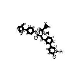 Cc1cnn(C)c1-c1ccc(NC(=O)C(Cc2cc(-c3ccc(=O)n(C(C)C)c3)ccc2Cl)NC(=O)C2CC2)cc1